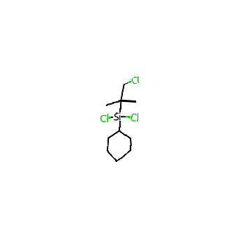 CC(C)(CCl)[Si](Cl)(Cl)C1CCCCC1